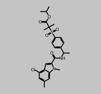 Cc1cc(Cl)c2cc(C(=O)NC(C)c3ccc(S(=O)(=O)C(C)(C)C(=O)OC(C)C)cc3)n(C)c2c1